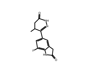 CC1CC(=O)NN=C1c1cc(F)c2c(c1)CC(=O)N2